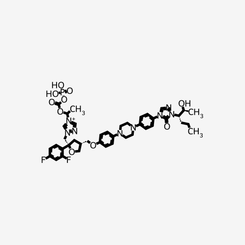 CCC[C@@H]([C@H](C)O)n1ncn(-c2ccc(N3CCN(c4ccc(OC[C@@H]5CO[C@@](Cn6c[n+](C(C)OC(=O)OP(=O)(O)O)cn6)(c6ccc(F)cc6F)C5)cc4)CC3)cc2)c1=O